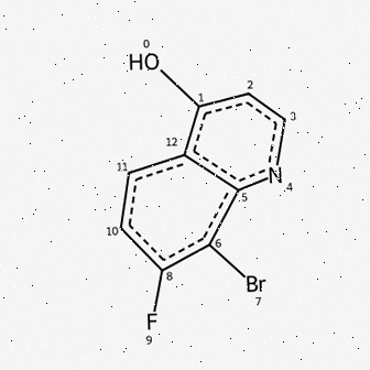 Oc1ccnc2c(Br)c(F)ccc12